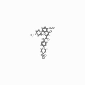 CCS(=O)(=O)N1CCN(c2ccc(NC(=O)c3cc(=O)c4c(OC)ccc(N5CCN(C)CC5)c4[nH]3)cc2)CC1